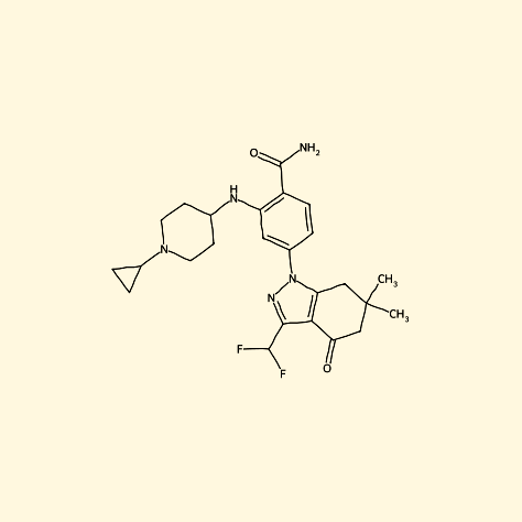 CC1(C)CC(=O)c2c(C(F)F)nn(-c3ccc(C(N)=O)c(NC4CCN(C5CC5)CC4)c3)c2C1